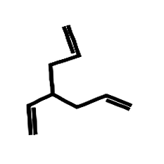 [CH]=CC(CC=C)CC=C